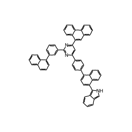 c1cc(-c2nc(-c3ccc(-c4ccc(-c5[nH]cc6ccccc56)c5ccccc45)cc3)cc(-c3cc4ccccc4c4ccccc34)n2)cc(-c2cccc3ccccc23)c1